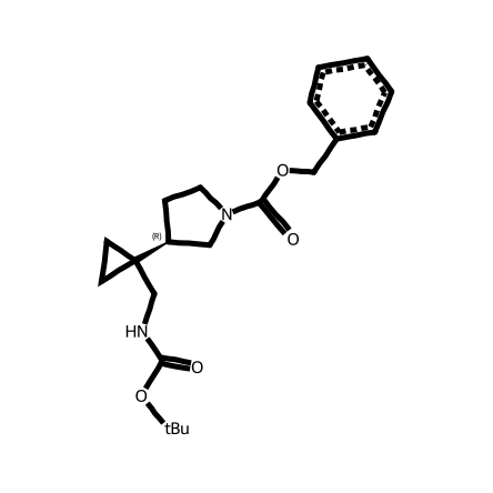 CC(C)(C)OC(=O)NCC1([C@H]2CCN(C(=O)OCc3ccccc3)C2)CC1